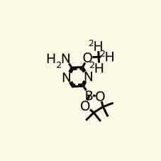 [2H]C([2H])([2H])Oc1nc(B2OC(C)(C)C(C)(C)O2)cnc1N